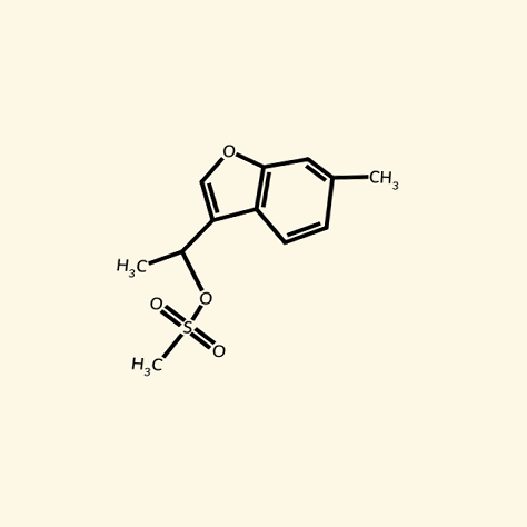 Cc1ccc2c(C(C)OS(C)(=O)=O)coc2c1